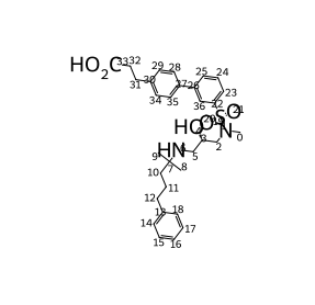 CN(C[C@H](O)CNC(C)(C)CCCc1ccccc1)S(=O)(=O)c1cccc(-c2ccc(CCC(=O)O)cc2)c1